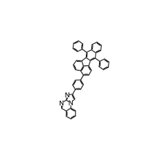 c1ccc(-c2c3c(c(-c4ccccc4)c4ccccc24)-c2ccc(-c4ccc(-c5cn6c(ncc7ccccc76)n5)cc4)c4cccc-3c24)cc1